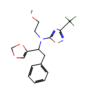 COCCN(c1nc(C(F)(F)F)ns1)C(Cc1ccccc1)C1=COCO1